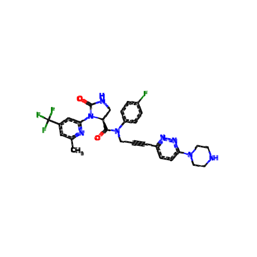 Cc1cc(C(F)(F)F)cc(N2C(=O)NC[C@H]2C(=O)N(CC#Cc2ccc(N3CCNCC3)nn2)c2ccc(F)cc2)n1